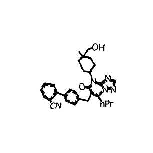 CCCc1c(Cc2ccc(-c3ccccc3C#N)cc2)c(=O)n(C2CCC(C)(CO)CC2)c2ncnn12